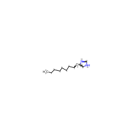 C=CCCCCCCC.c1c[nH]cn1